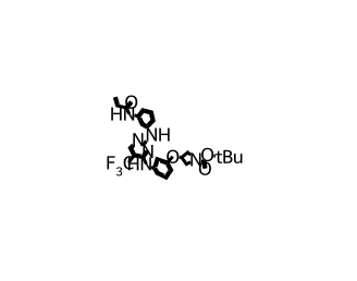 C=CC(=O)Nc1cccc(Nc2ncc(C(F)(F)F)c(Nc3cccc(OC4CN(C(=O)OC(C)(C)C)C4)c3)n2)c1